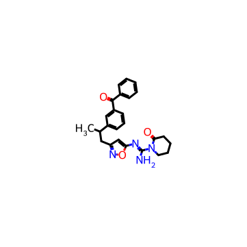 CC(Cc1cc(N=C(N)N2CCCCC2=O)on1)c1cccc(C(=O)c2ccccc2)c1